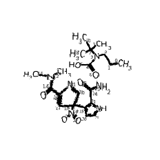 CCCN(C(=O)O)C(C)(C)C.CN(C)C(=O)C1=CC(c2cc[nH]c2C(N)=O)([N+](=O)[O-])C=N1